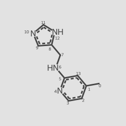 Cc1ccnc(NCc2cnc[nH]2)c1